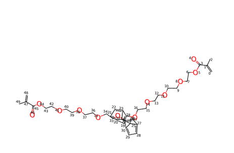 C=C(C)C(=O)OCCOCCOCCOCCOC1=CC2=CC=C1C2C1(C)C2=CC=C1C(OCCOCCOCCOCCOC(=O)C(=C)C)=C2